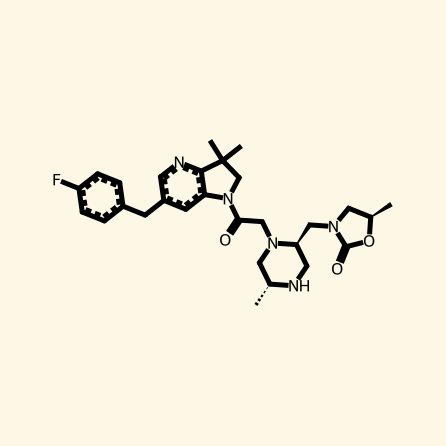 C[C@@H]1CN(CC(=O)N2CC(C)(C)c3ncc(Cc4ccc(F)cc4)cc32)[C@@H](CN2C[C@@H](C)OC2=O)CN1